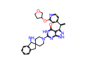 C=C(c1ccnc(OC2CCOC2)c1)c1n[nH]c2nc(N3CCC4(CC3)Cc3ccccc3[C@H]4N)[nH]c(=O)c12